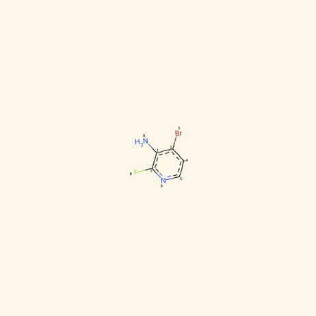 Nc1c(Br)ccnc1F